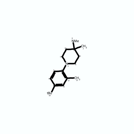 CNC1(C)CCN(c2ccc(C(C)(C)C)cc2C)CC1